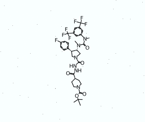 CN(C(=O)N(C)[C@@H]1CN(C(=O)NNC(=O)C2CCN(C(=O)OC(C)(C)C)CC2)C[C@H]1c1ccc(F)cc1)c1cc(C(F)(F)F)cc(C(F)(F)F)c1